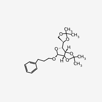 CC1(C)O[C@@H]2[C@H](O1)[C@@H](OCCCc1ccccc1)O[C@@H]2[C@H]1COC(C)(C)O1